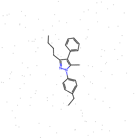 [CH2]Cc1ccc(-n2nc(CCCC)c(-c3ccccc3)c2C)cc1